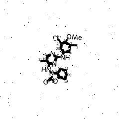 COc1c(C)cc(Nc2ncc(C)c(Nn3c(=O)oc4ccccc43)n2)cc1Cl